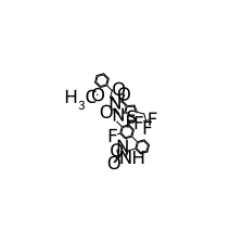 COc1ccccc1C(=O)Cn1c(=O)c2cc(CC(F)(F)F)sc2n(Cc2c(F)cc(-c3ccccc3-c3noc(=O)[nH]3)cc2F)c1=O